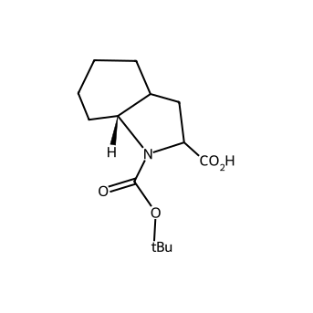 CC(C)(C)OC(=O)N1C(C(=O)O)CC2CCCC[C@H]21